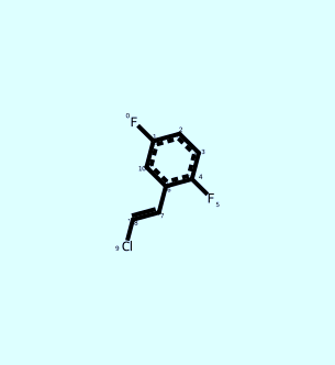 Fc1ccc(F)c(C=[C]Cl)c1